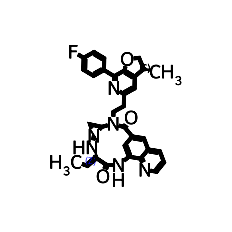 C/C=C1\NN2CC2N(CCc2cc3c(c(-c4ccc(F)cc4)n2)OC[C@H]3C)C(=O)c2cc(c3ncccc3c2)NC1=O